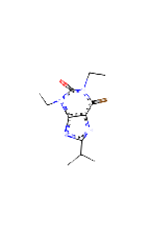 CCn1c(=S)c2[nH]c(C(C)C)nc2n(CC)c1=O